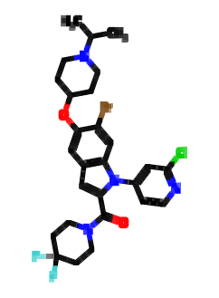 CC(C)N1CCC(Oc2cc3cc(C(=O)N4CCC(F)(F)CC4)n(-c4ccnc(Cl)c4)c3cc2Br)CC1